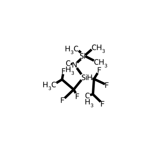 CC(F)C(F)(F)[SiH](N(C)[Si](C)(C)C)C(F)(F)C(C)F